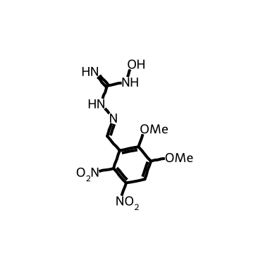 COc1cc([N+](=O)[O-])c([N+](=O)[O-])c(/C=N/NC(=N)NO)c1OC